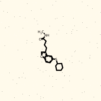 CNC(=O)CCCc1coc2ccc(SC3CCCCC3)cc12